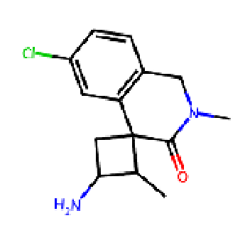 CC1C(N)CC12C(=O)N(C)Cc1ccc(Cl)cc12